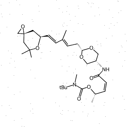 CC(/C=C/[C@@H]1C[C@]2(CO2)CC(C)(C)O1)=C\C[C@H]1OC[C@@H](NC(=O)/C=C\[C@H](C)OC(=O)N(C)C(C)(C)C)CO1